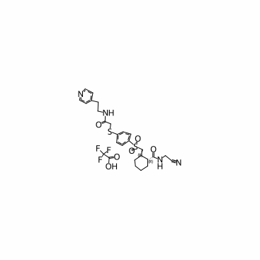 N#CCNC(=O)[C@@H]1CCCC[C@H]1CS(=O)(=O)c1ccc(SCC(=O)NCCc2ccncc2)cc1.O=C(O)C(F)(F)F